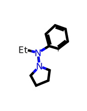 CCN(c1[c]cccc1)N1CCCC1